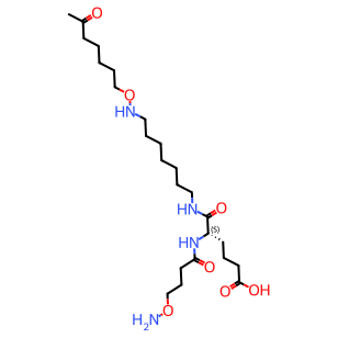 CC(=O)CCCCCONCCCCCCCNC(=O)[C@H](CCCC(=O)O)NC(=O)CCCON